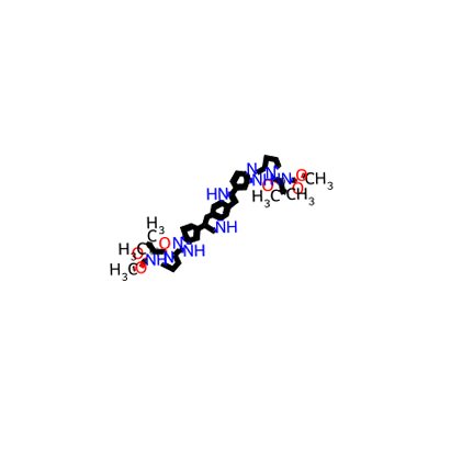 COC(=O)N[C@H](C(=O)N1CCCC1c1nc2ccc(-c3cc4cc5c(cc4[nH]3)CC(c3ccc4nc(C6CCCN6C(=O)[C@H](NC(=O)OC)C(C)C)[nH]c4c3)CN5)cc2[nH]1)C(C)C